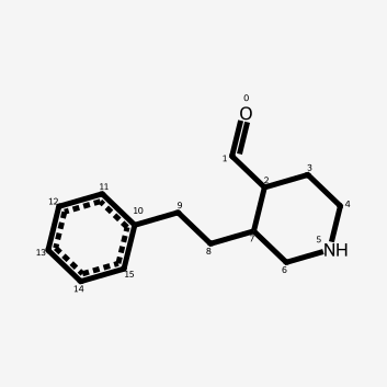 O=CC1CCNCC1CCc1ccccc1